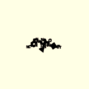 CC(C)C1CC(NC(=O)c2cnc(-n3ncc4cc(C#N)cnc43)cc2NC2CC2)C1